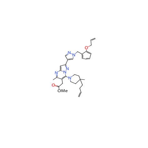 C=CCCC1(C)CCN(c2c(CC(=O)OC)c(C)nc3cc(-c4cnn(Cc5ccccc5OCC=C)c4)nn23)CC1